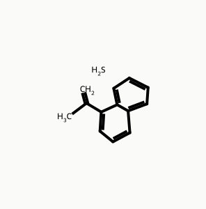 C=C(C)c1cccc2ccccc12.S